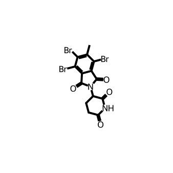 Cc1c(Br)c(Br)c2c(c1Br)C(=O)N(C1CCC(=O)NC1=O)C2=O